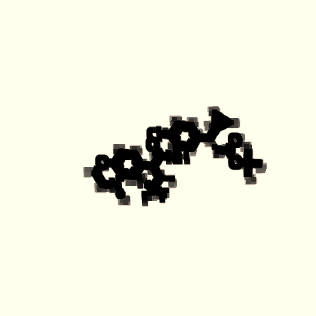 C[C@H](C(C(=O)Nc1cc([C@@H](CC(=O)OC(C)(C)C)C2CC2)ccc1Cl)c1ccc2c(c1)N(C)CCO2)C(F)(F)F